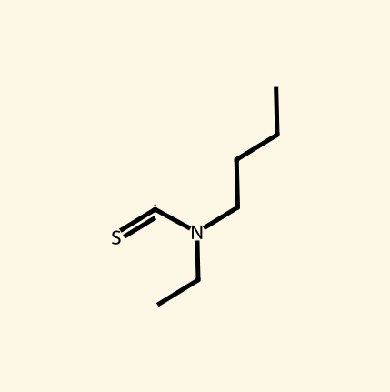 CCCCN([C]=S)CC